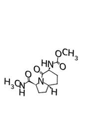 CNC(=O)[C@@H]1CC[C@H]2CC[C@H](NC(=O)OC)C(=O)N21